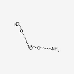 NCCCCCCCCOCCCc1ccc[n+](CCCCCCCCCCOCCCc2cccnc2)c1